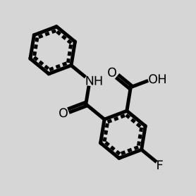 O=C(O)c1cc(F)ccc1C(=O)Nc1ccccc1